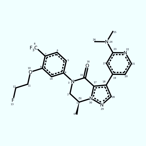 C[C@H]1CN(c2ccc(C(F)(F)F)c(OCCF)c2)C(=O)c2c(-c3ccnc(N(C)C)c3)cnn21